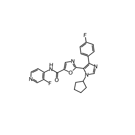 O=C(Nc1ccncc1F)c1cnc(-c2c(-c3ccc(F)cc3)ncn2C2CCCC2)o1